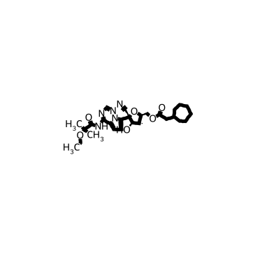 CCOC(C)(C)C(=O)Nc1ncnn2c([C@]3(C#N)O[C@@H](COC(=O)CC4CCCCCC4)[CH][C@H]3O)ccc12